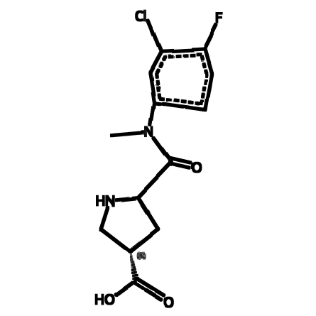 CN(C(=O)C1C[C@H](C(=O)O)CN1)c1ccc(F)c(Cl)c1